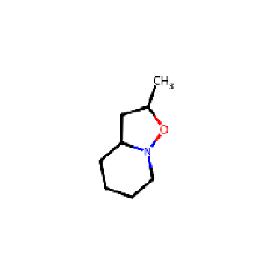 CC1CC2CCCCN2O1